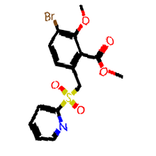 COC(=O)c1c(CS(=O)(=O)c2ccccn2)ccc(Br)c1OC